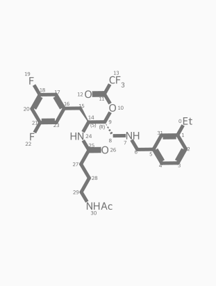 CCc1cccc(CNC[C@@H](OC(=O)C(F)(F)F)[C@H](Cc2cc(F)cc(F)c2)NC(=O)CCCNC(C)=O)c1